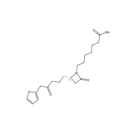 O=C(O)CCCCCCN1C(=O)C[C@@H]1CCCC(=O)Cc1cccs1